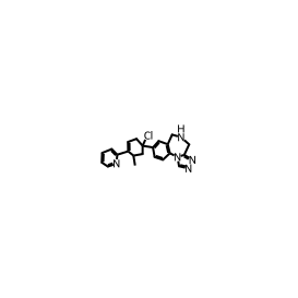 CC1CC(Cl)(c2ccc3c(c2)CNCc2nncn2-3)CC=C1c1ccccn1